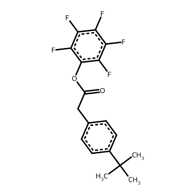 CC(C)(C)c1ccc(CC(=O)Oc2c(F)c(F)c(F)c(F)c2F)cc1